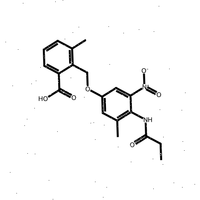 CCC(=O)Nc1c(C)cc(OCc2c(C)cccc2C(=O)O)cc1[N+](=O)[O-]